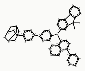 CC1(C)c2ccccc2-c2ccc(N(c3ccc(-c4ccc(C56CC7CC(CC(C7)C5)C6)cc4)cc3)c3ccc(-c4ccccc4)c4ccccc34)cc21